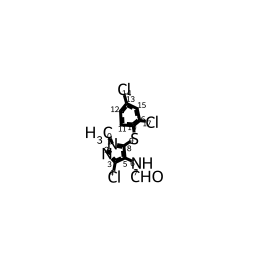 Cn1nc(Cl)c(NC=O)c1Sc1ccc(Cl)cc1Cl